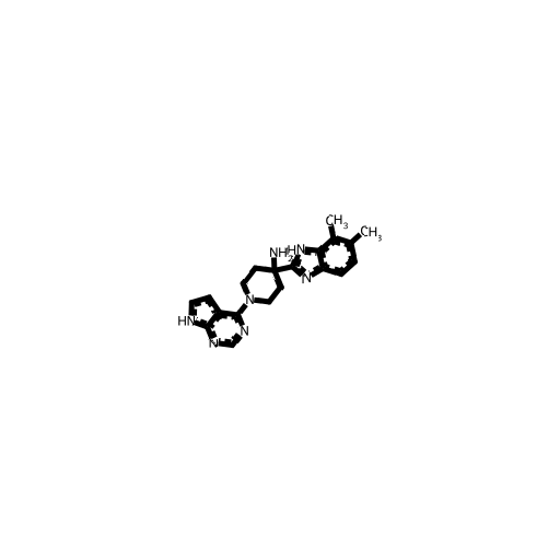 Cc1ccc2nc(C3(N)CCN(c4ncnc5[nH]ccc45)CC3)[nH]c2c1C